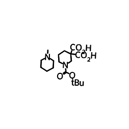 CC(C)(C)OC(=O)N1CCCC(C(=O)O)(C(=O)O)C1.CN1CCCCC1